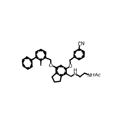 CC(=O)NCCNCc1c(OCc2cccc(C#N)c2)cc(OCc2cccc(-c3ccccc3)c2C)c2c1CCC2